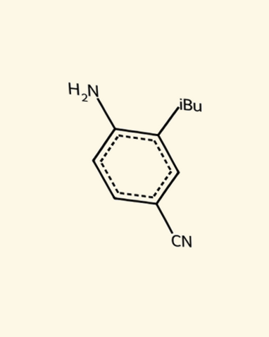 CCC(C)c1cc(C#N)ccc1N